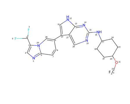 FC(F)c1cnc2ccc(-c3c[nH]c4nc(NC5CCC(OC(F)(F)F)CC5)ncc34)cn12